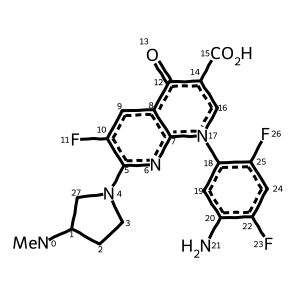 CNC1CCN(c2nc3c(cc2F)c(=O)c(C(=O)O)cn3-c2cc(N)c(F)cc2F)C1